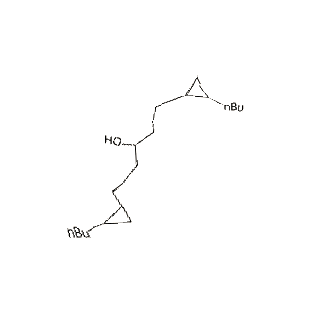 CCCCC1CC1CCC(O)CCC1CC1CCCC